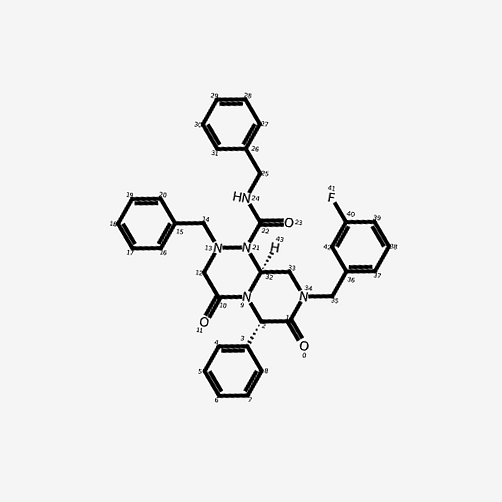 O=C1[C@H](c2ccccc2)N2C(=O)CN(Cc3ccccc3)N(C(=O)NCc3ccccc3)[C@H]2CN1Cc1cccc(F)c1